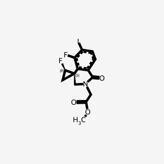 COC(=O)CN1C[C@]2(C[C@H]2F)c2c(ccc(I)c2F)C1=O